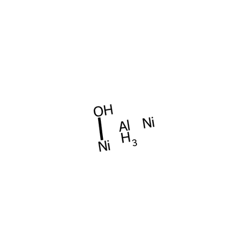 [AlH3].[Ni].[OH][Ni]